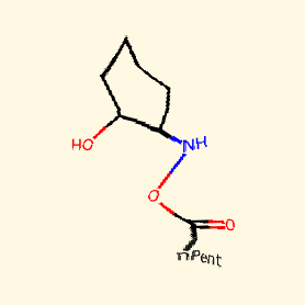 CCCCCC(=O)ONC1CCCC1O